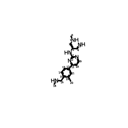 CN/C=C(\C=N)Nc1nccc(-c2ccc(CNC)c(C)c2)n1